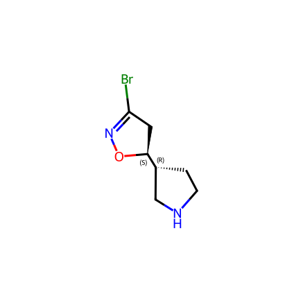 BrC1=NO[C@H]([C@@H]2CCNC2)C1